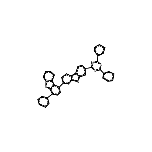 c1ccc(-c2nc(-c3ccccc3)nc(-c3ccc4c(c3)sc3cc(-c5ccc(-c6ccccc6)c6sc7ccccc7c56)ccc34)n2)cc1